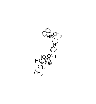 C=CCOC(=O)[C@@H](O)[C@@H](O)[C@H](O)[C@H](C=O)OC(=O)c1ccc(N2CCC[C@H](N[C@H](C)c3cccc4ccccc34)C2)cc1